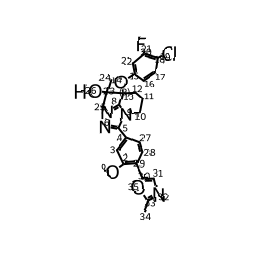 COc1cc(-c2nnc3n2CCC[C@]3(Oc2ccc(Cl)c(F)c2)C(C)(C)O)ccc1-c1cnc(C)o1